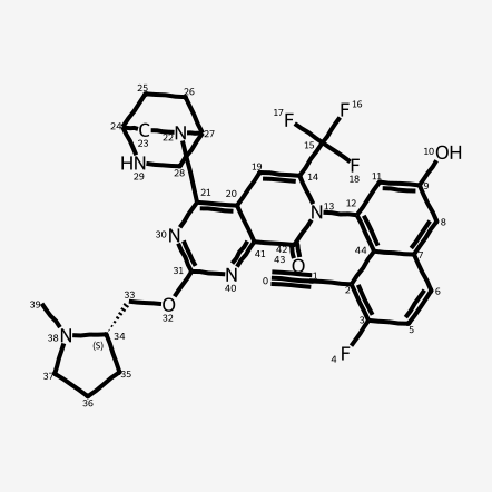 C#Cc1c(F)ccc2cc(O)cc(-n3c(C(F)(F)F)cc4c(N5CC6CCC5CN6)nc(OC[C@@H]5CCCN5C)nc4c3=O)c12